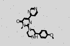 COc1ccc(C2CN(c3nc(-c4ccncn4)cc(=O)n3C)CCN2)cc1